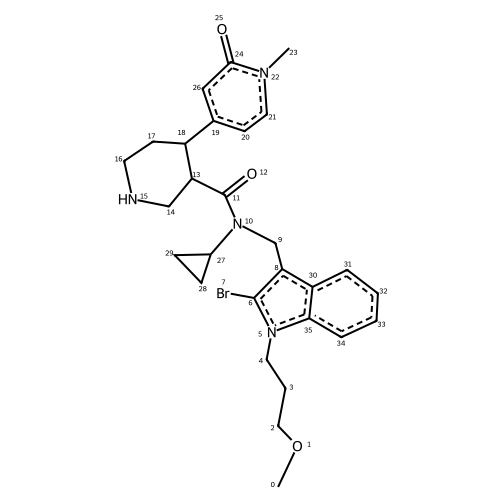 COCCCn1c(Br)c(CN(C(=O)C2CNCCC2c2ccn(C)c(=O)c2)C2CC2)c2ccccc21